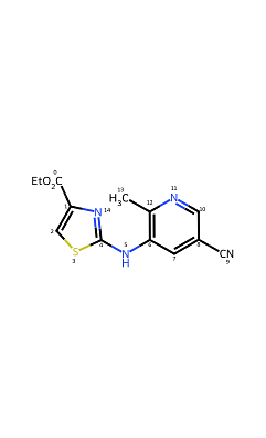 CCOC(=O)c1csc(Nc2cc(C#N)cnc2C)n1